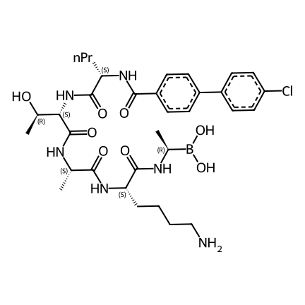 CCC[C@H](NC(=O)c1ccc(-c2ccc(Cl)cc2)cc1)C(=O)N[C@H](C(=O)N[C@@H](C)C(=O)N[C@@H](CCCCN)C(=O)N[C@@H](C)B(O)O)[C@@H](C)O